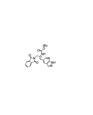 CC(C)(C)OC(=O)N[C@@H](Cc1cnc2[nH]ncc2c1)CN1C(=O)c2ccccc2C1=O